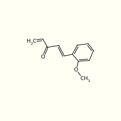 C=CC(=O)C=Cc1ccccc1OC